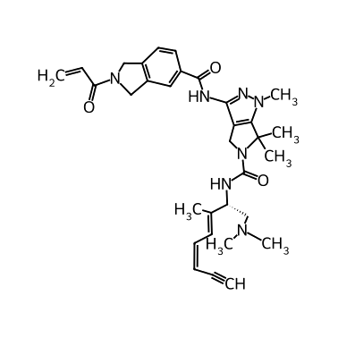 C#C/C=C\C=C(/C)[C@@H](CN(C)C)NC(=O)N1Cc2c(NC(=O)c3ccc4c(c3)CN(C(=O)C=C)C4)nn(C)c2C1(C)C